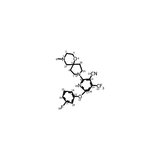 CN1CCOC2(CCN(c3nc(Oc4cccc(F)c4)cc(C(F)(F)F)c3C#N)CC2)C1